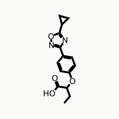 CCC(Oc1ccc(-c2noc(C3CC3)n2)cc1)C(=O)O